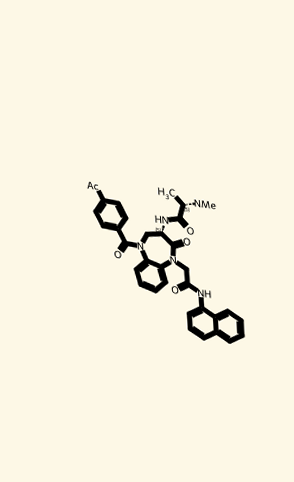 CN[C@@H](C)C(=O)N[C@H]1CN(C(=O)c2ccc(C(C)=O)cc2)c2ccccc2N(CC(=O)Nc2cccc3ccccc23)C1=O